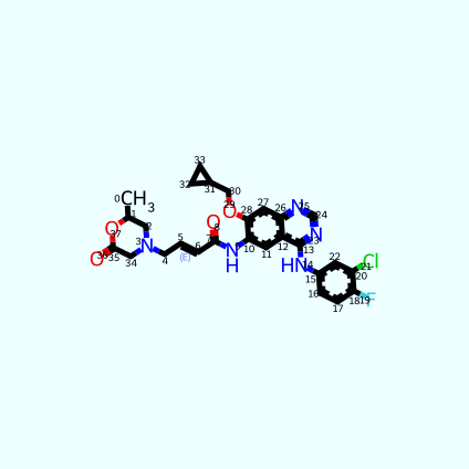 CC1CN(C/C=C/C(=O)Nc2cc3c(Nc4ccc(F)c(Cl)c4)ncnc3cc2OCC2CC2)CC(=O)O1